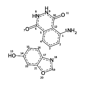 Nc1cccc2c(=O)[nH][nH]c(=O)c12.Oc1ccc2ncoc2c1